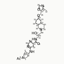 CC(=O)N1CC2CC1CC2Nc1cc(C(=O)NC[C@H](O)CN2CCc3cc(OCc4ocnc4C)ccc3C2)ncn1